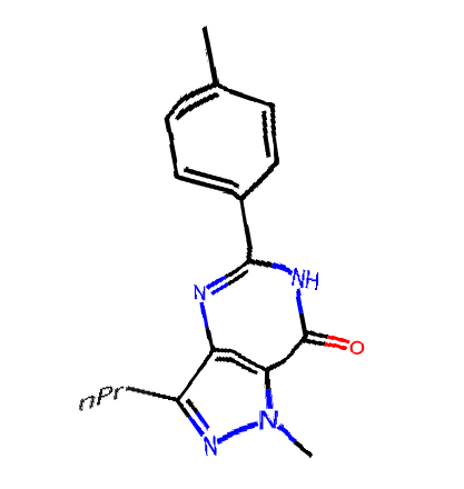 CCCc1nn(C)c2c(=O)[nH]c(-c3ccc(C)cc3)nc12